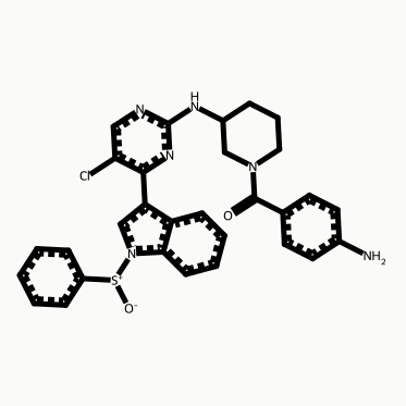 Nc1ccc(C(=O)N2CCCC(Nc3ncc(Cl)c(-c4cn([S+]([O-])c5ccccc5)c5ccccc45)n3)C2)cc1